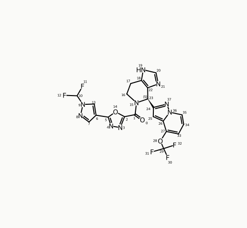 O=C(c1nnc(-c2cnn(C(F)F)c2)o1)N1CCc2[nH]cnc2[C@H]1c1cc2c(OC(F)(F)F)cccn2n1